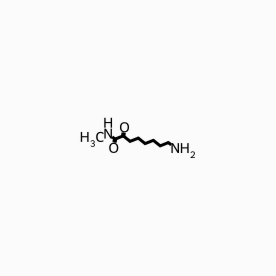 CNC(=O)C(=O)CCCCCCN